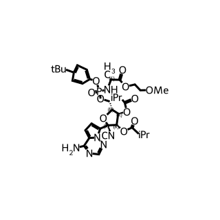 COCCOC(=O)[C@H](C)NP(=O)(OC[C@H]1O[C@@](C#N)(c2ccc3c(N)ncnn23)[C@H](OC(=O)C(C)C)[C@@H]1OC(=O)C(C)C)Oc1ccc(C(C)(C)C)cc1